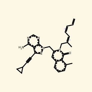 C=C/C=C\C=C(\C)Cn1c(Cn2nc(C#CC3CC3)c3c(N)ncnc32)cc2cccc(C)c2c1=O